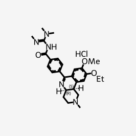 CCOc1cc2c(cc1OC)C(c1ccc(C(=O)NC(=NC)N(C)C)cc1)=N[C@@H]1CCN(C)C[C@H]21.Cl